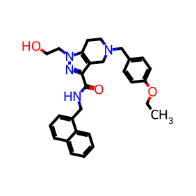 CCOc1ccc(CN2CCc3c(c(C(=O)NCc4cccc5ccccc45)nn3CCO)C2)cc1